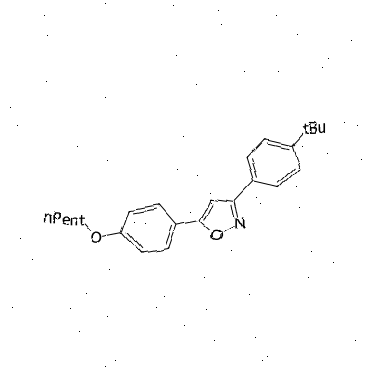 CCCCCOc1ccc(-c2cc(-c3ccc(C(C)(C)C)cc3)no2)cc1